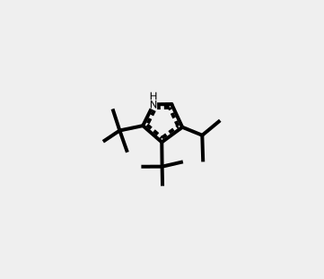 CC(C)c1c[nH]c(C(C)(C)C)c1C(C)(C)C